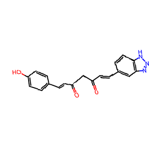 O=C(C=Cc1ccc(O)cc1)CC(=O)C=Cc1ccc2[nH]nnc2c1